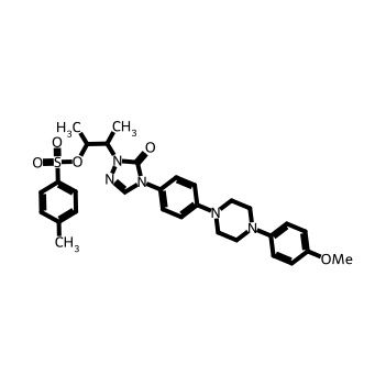 COc1ccc(N2CCN(c3ccc(-n4cnn(C(C)C(C)OS(=O)(=O)c5ccc(C)cc5)c4=O)cc3)CC2)cc1